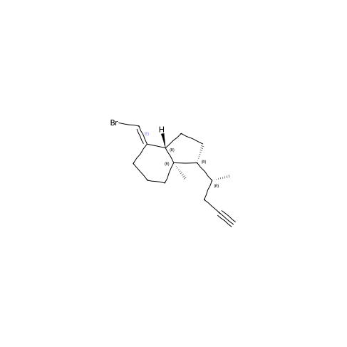 C#CC[C@@H](C)[C@H]1CC[C@H]2/C(=C/Br)CCC[C@]12C